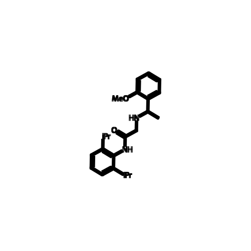 COc1ccccc1C(C)NCC(=O)Nc1c(C(C)C)cccc1C(C)C